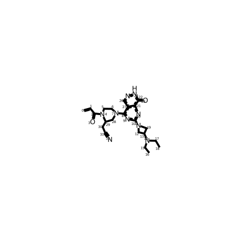 C=CC(=O)N1CCN(c2nc(N3CC(N(CC)CC)C3)nc3c(=O)[nH]ncc23)CC1CC#N